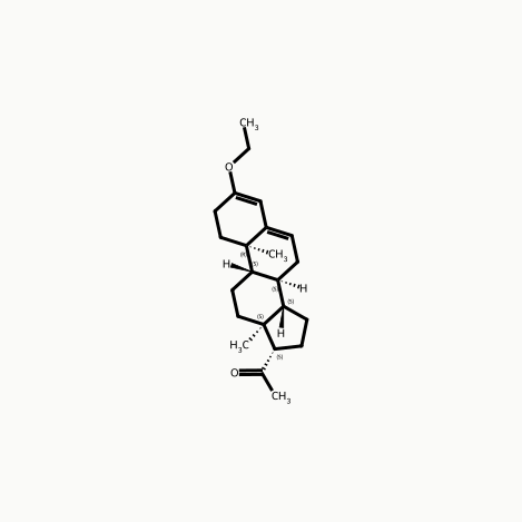 CCOC1=CC2=CC[C@H]3[C@@H]4CC[C@H](C(C)=O)[C@@]4(C)CC[C@@H]3[C@@]2(C)CC1